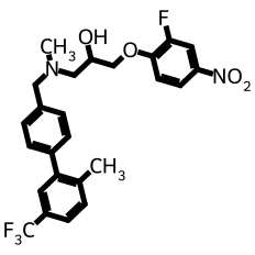 Cc1ccc(C(F)(F)F)cc1-c1ccc(CN(C)CC(O)COc2ccc([N+](=O)[O-])cc2F)cc1